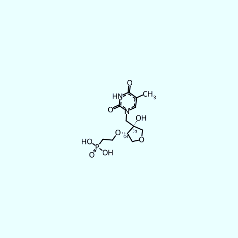 Cc1cn(C[C@@]2(O)COC[C@@H]2OCCP(=O)(O)O)c(=O)[nH]c1=O